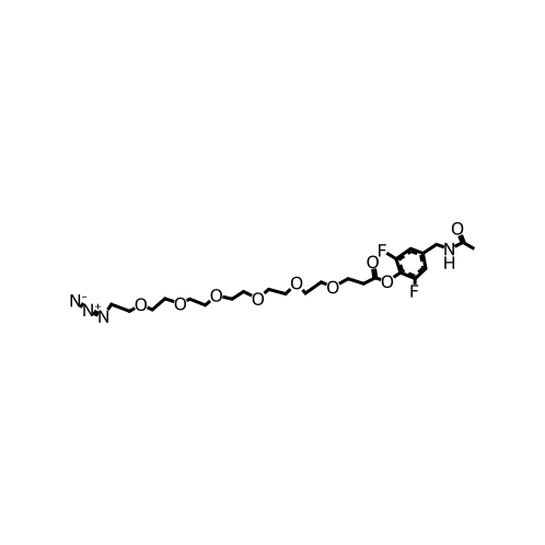 CC(=O)NCc1cc(F)c(OC(=O)CCOCCOCCOCCOCCOCCOCCN=[N+]=[N-])c(F)c1